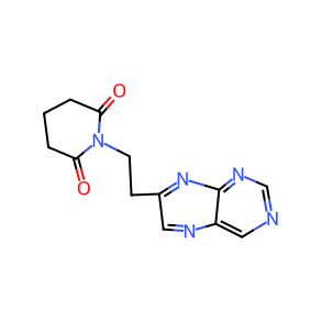 O=C1CCCC(=O)N1CCc1cnc2cncnc2n1